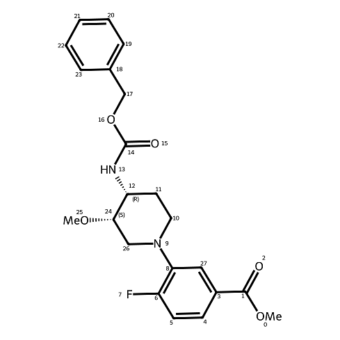 COC(=O)c1ccc(F)c(N2CC[C@@H](NC(=O)OCc3ccccc3)[C@@H](OC)C2)c1